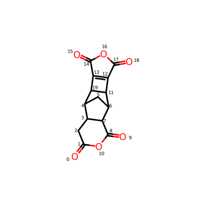 O=C1CC2C3CC(C2C(=O)O1)C1C2=C(C(=O)OC2=O)C31